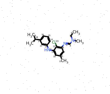 CCN(C)C=Nc1cc(C)cc(Nc2cccc(C(C)C)c2)c1Cl